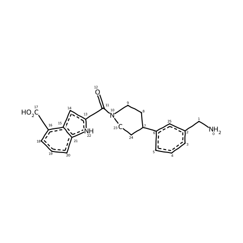 NCc1cccc(C2CCN(C(=O)c3cc4c(C(=O)O)cccc4[nH]3)CC2)c1